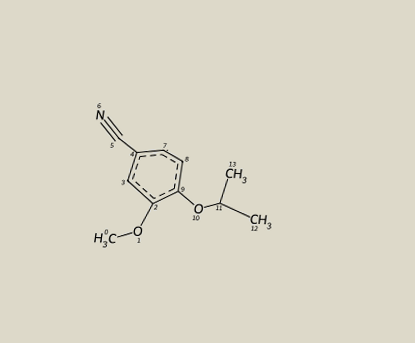 COc1cc(C#N)[c]cc1OC(C)C